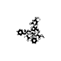 COC(=O)[C@H](C)NP(=O)(OC[C@H]1O[C@@H](n2ccc(N)nc2=O)C(C)(C#N)[C@@H]1OP(=O)(N[C@@H](C)C(=O)OC)Oc1ccccc1)Oc1ccccc1